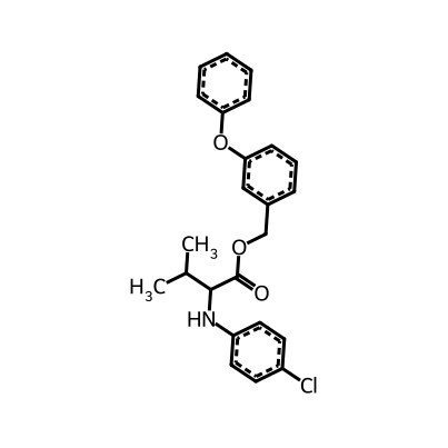 CC(C)C(Nc1ccc(Cl)cc1)C(=O)OCc1cccc(Oc2ccccc2)c1